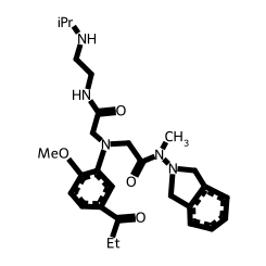 CCC(=O)c1ccc(OC)c(N(CC(=O)NCCNC(C)C)CC(=O)N(C)N2Cc3ccccc3C2)c1